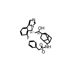 O=S(=O)(Cc1ccccc1)NC1C2CC3CC1CC([C@H](O)C[C@@H]1c4c(F)cccc4-c4cncn41)(C3)C2